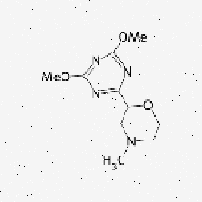 COc1nc(OC)nc(C2CN(C)CCO2)n1